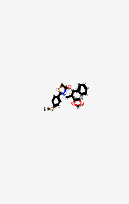 CCSc1ccc(C2SCC(=O)N2CC(Cc2ccccc2)C2=COCO2)cc1